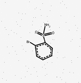 NS(=O)(=O)c1c[c]ccc1Br